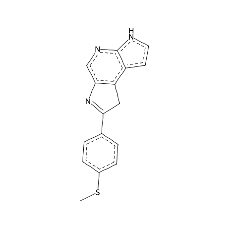 CSc1ccc(C2=Nc3cnc4[nH]ccc4c3C2)cc1